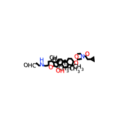 C[C@@H]1CC(CNCCC=O)OC2[C@H]1C1(C)CCC34CC35CCC(O[C@H]3CN(C(=O)CC6CC6)CCO3)C(C)(C)[C@@H]5CCC4[C@]1(C)[C@H]2O